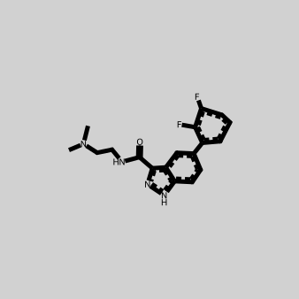 CN(C)CCNC(=O)c1n[nH]c2ccc(-c3cccc(F)c3F)cc12